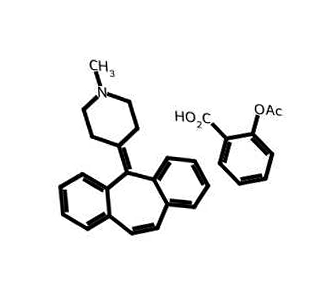 CC(=O)Oc1ccccc1C(=O)O.CN1CCC(=C2c3ccccc3C=Cc3ccccc32)CC1